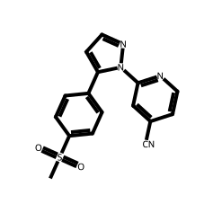 CS(=O)(=O)c1ccc(-c2ccnn2-c2cc(C#N)ccn2)cc1